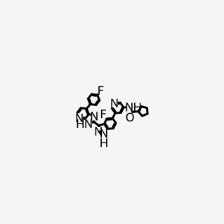 O=C(Nc1cncc(-c2ccc3[nH]nc(-c4nc5c(-c6ccc(F)cc6)ccnc5[nH]4)c3c2F)c1)C1CCCC1